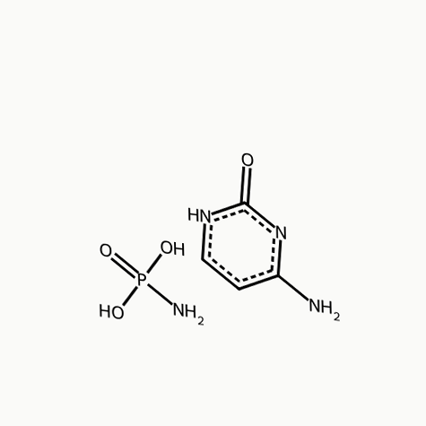 NP(=O)(O)O.Nc1cc[nH]c(=O)n1